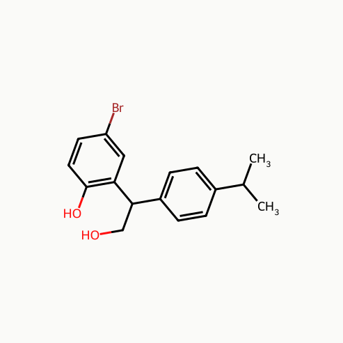 CC(C)c1ccc(C(CO)c2cc(Br)ccc2O)cc1